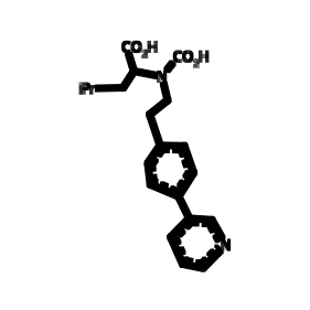 CC(C)CC(C(=O)O)N(CCc1ccc(-c2cccnc2)cc1)C(=O)O